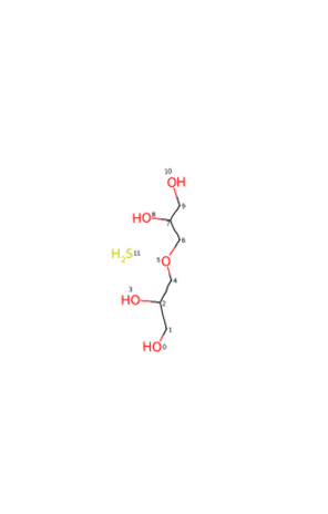 OCC(O)COCC(O)CO.S